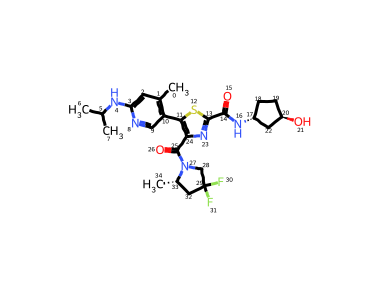 Cc1cc(NC(C)C)ncc1-c1sc(C(=O)N[C@@H]2CC[C@@H](O)C2)nc1C(=O)N1CC(F)(F)C[C@@H]1C